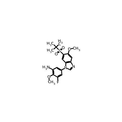 COc1cc2ncn(-c3cc(N)c(OC)c(F)c3)c2cc1S(=O)(=O)C(C)(C)C